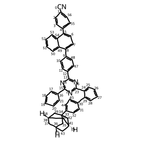 N#Cc1ccc(-c2ccc(-c3ccc(-c4nc(-c5ccccc5)nc(-c5ccccc5-c5ccc(C67C[C@H]8C[C@H](C6)C[C@@H](C7)C8)cc5)n4)cc3)c3ccccc23)cc1